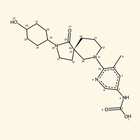 Cc1cc(NC(=O)O)cnc1N1CCC[C@]2(CCN(C3CCC(O)CC3)C2=O)C1